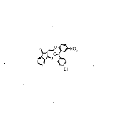 O=C(c1ccc(Cl)cc1)c1cc([N+](=O)[O-])ccc1OCCN1C(=O)c2ccccc2C1=O